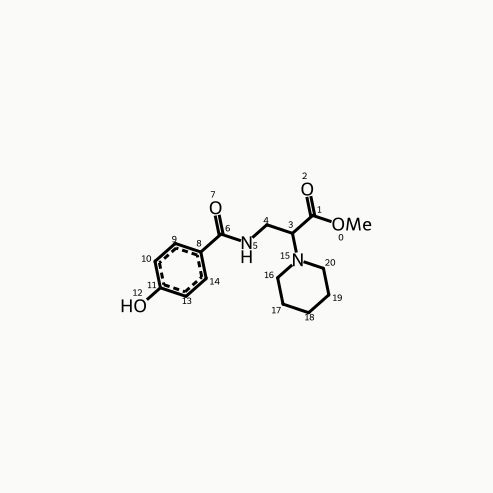 COC(=O)C(CNC(=O)c1ccc(O)cc1)N1CCCCC1